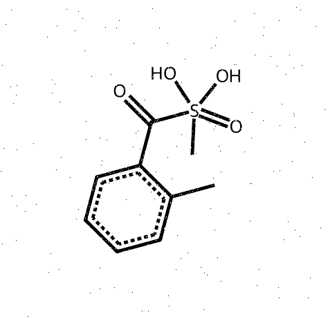 Cc1ccccc1C(=O)S(C)(=O)(O)O